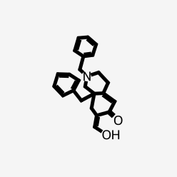 O=C1C=C2CCN(Cc3ccccc3)CC2(Cc2ccccc2)C/C1=C/O